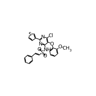 COc1ccccc1Oc1c(Cl)nc(-c2ccsc2)nc1NS(=O)(=O)C=Cc1ccccc1